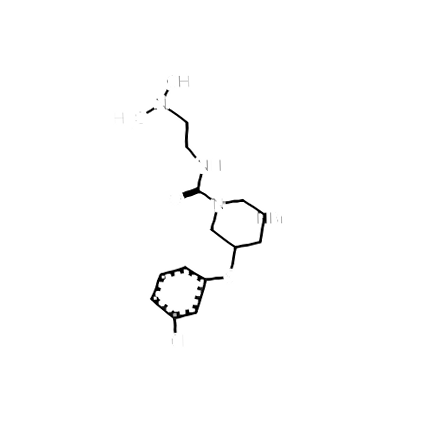 Br.CN(C)CCNC(=O)N1CCCC(Sc2cccc(Cl)c2)C1